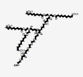 CCCCCCCC/C=C\CCCCCCCC(=O)OCCN(CCOC(=O)CCCCCCC/C=C\CCCCCCCC)C(=O)CCC(=O)NCCCC[C@H](NC(=O)CCC(=O)N(CCOC(=O)CCCCCCC/C=C\CCCCCCCC)CCOC(=O)CCCCCCC/C=C\CCCCCCCC)C(=O)NCCCOCCOCCOCCCNC(=O)CCOCCOCC